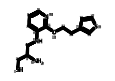 NC(CS)CNc1cccnc1OCCc1ccsc1